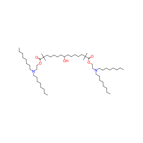 CCCCCCCCN(CCCCCCCC)CCOC(=O)C(C)(C)CCCCCC(O)CCCCCC(C)(C)C(=O)OCCN(CCCCCCCC)CCCCCCCC